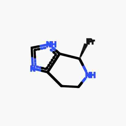 CC(C)[C@@H]1NCCc2nc[nH]c21